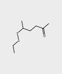 CCSSC(C)CCC(C)=O